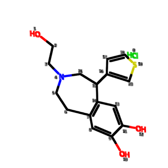 Cl.OCCN1CCc2cc(O)c(O)cc2C(c2ccsc2)C1